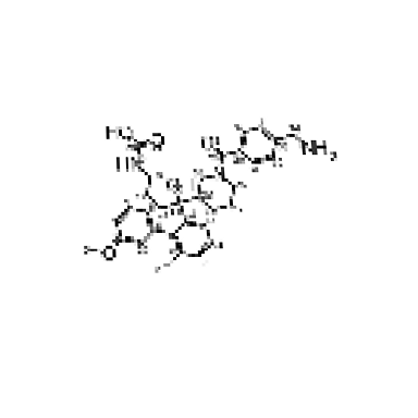 COc1cccc(-c2c(F)cccc2C(O)(CCCNC(=O)O)C2CCCN(C(=O)c3ccc(CN)cc3)C2)c1